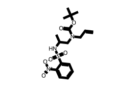 C=CCN(CC(C)NS(=O)(=O)c1ccccc1[N+](=O)[O-])C(=O)OC(C)(C)C